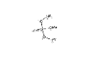 CCCOP(=O)(OC)ON